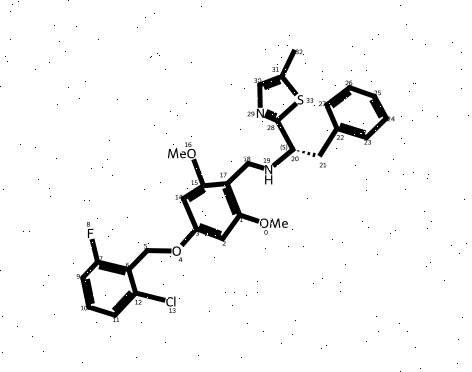 COc1cc(OCc2c(F)cccc2Cl)cc(OC)c1CN[C@@H](Cc1ccccc1)c1ncc(C)s1